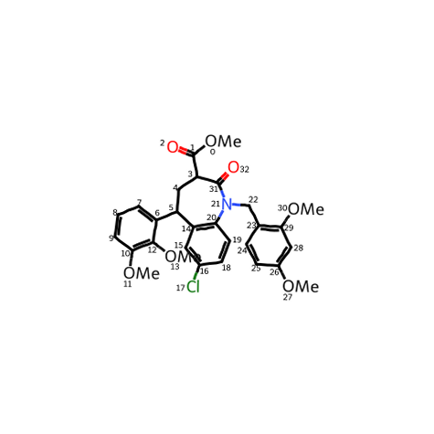 COC(=O)C1CC(c2cccc(OC)c2OC)c2cc(Cl)ccc2N(Cc2ccc(OC)cc2OC)C1=O